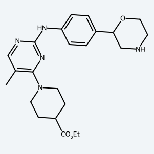 CCOC(=O)C1CCN(c2nc(Nc3ccc(C4CNCCO4)cc3)ncc2C)CC1